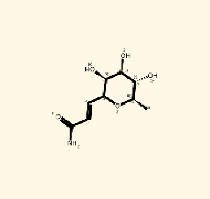 C[C@H]1OC(C=CC(N)=O)[C@@H](O)[C@@H](O)[C@@H]1O